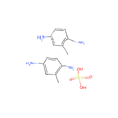 Cc1cc(N)ccc1N.Cc1cc(N)ccc1N.O=S(=O)(O)O